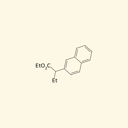 CCOC(=O)C(CC)c1ccc2ccccc2c1